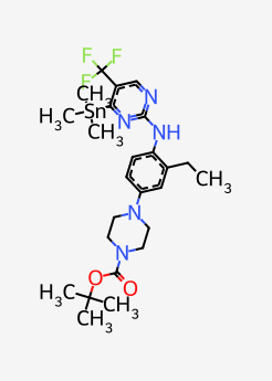 CCc1cc(N2CCN(C(=O)OC(C)(C)C)CC2)ccc1Nc1ncc(C(F)(F)F)[c]([Sn]([CH3])([CH3])[CH3])n1